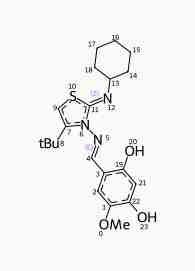 COc1cc(/C=N/n2c(C(C)(C)C)cs/c2=N\C2CCCCC2)c(O)cc1O